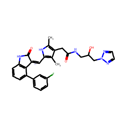 Cc1[nH]c(/C=C2\C(=O)Nc3cccc(-c4cccc(F)c4)c32)c(C)c1CC(=O)NCC(O)Cn1nccn1